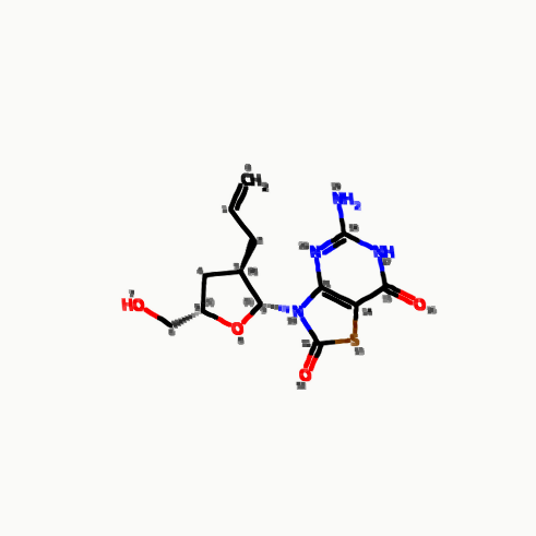 C=CC[C@@H]1C[C@@H](CO)O[C@H]1n1c(=O)sc2c(=O)[nH]c(N)nc21